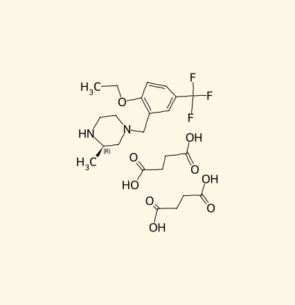 CCOc1ccc(C(F)(F)F)cc1CN1CCN[C@H](C)C1.O=C(O)CCC(=O)O.O=C(O)CCC(=O)O